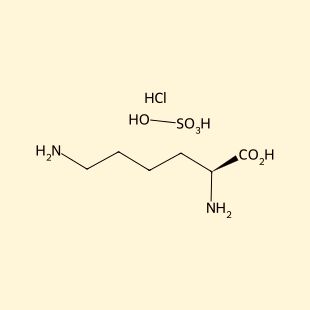 Cl.NCCCC[C@H](N)C(=O)O.O=S(=O)(O)O